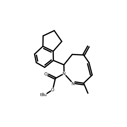 C=C1/C=C\C(C)=N/N(C(=O)OC(C)(C)C)C(c2cccc3c2CCC3)C1